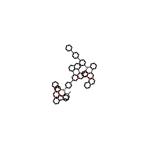 CC1CC=CC(c2cccc3c2sc2ccccc23)=C1N(c1ccc(-c2cccc(-c3cccc4cccc(-c5cccc6c5sc5c(-c7ccccc7N(c7ccc(-c8ccc(-c9ccccc9)cc8)cc7)c7cccc(-c8cccc9ccccc89)c7)cccc56)c34)c2)cc1)c1ccccc1-n1c2ccccc2c2ccccc21